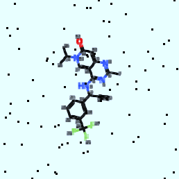 C#CC(Nc1nc(C)nc2cc(=O)n(C(C)C)cc12)c1cccc(C(F)(F)F)c1